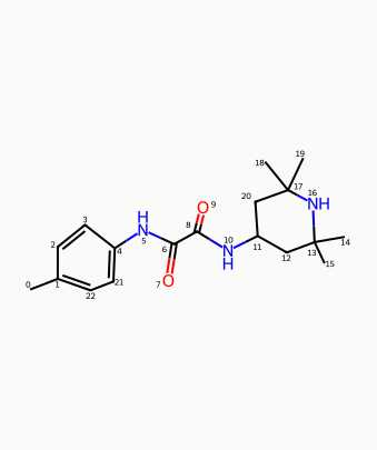 Cc1ccc(NC(=O)C(=O)NC2CC(C)(C)NC(C)(C)C2)cc1